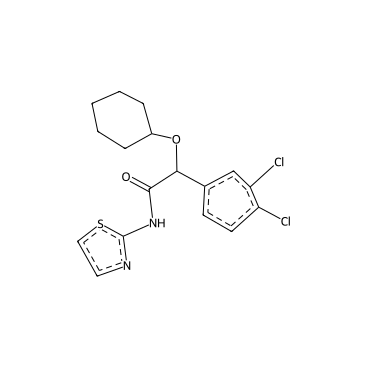 O=C(Nc1nccs1)C(OC1CCCCC1)c1ccc(Cl)c(Cl)c1